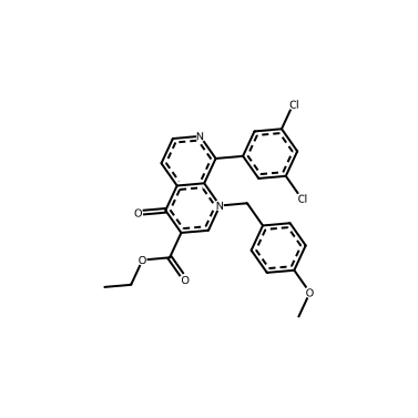 CCOC(=O)c1cn(Cc2ccc(OC)cc2)c2c(-c3cc(Cl)cc(Cl)c3)nccc2c1=O